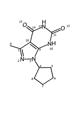 Cc1nn(C2CCCC2)c2[nH]c(=O)[nH]c(=O)c12